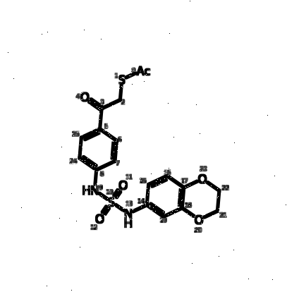 CC(=O)SCC(=O)c1ccc(NS(=O)(=O)Nc2ccc3c(c2)OCCO3)cc1